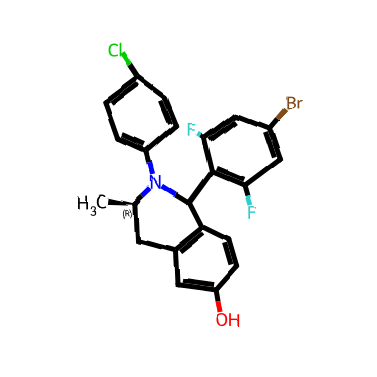 C[C@@H]1Cc2cc(O)ccc2C(c2c(F)cc(Br)cc2F)N1c1ccc(Cl)cc1